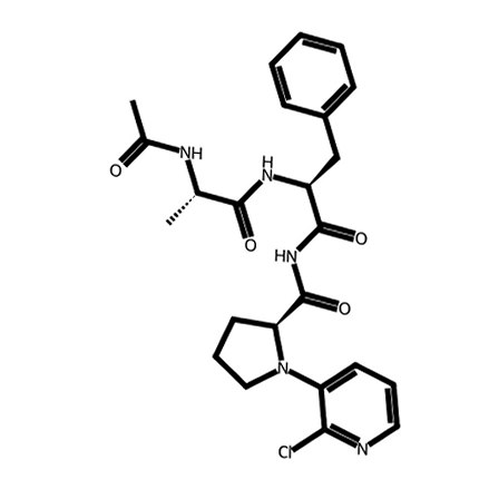 CC(=O)N[C@@H](C)C(=O)N[C@@H](Cc1ccccc1)C(=O)NC(=O)[C@@H]1CCCN1c1cccnc1Cl